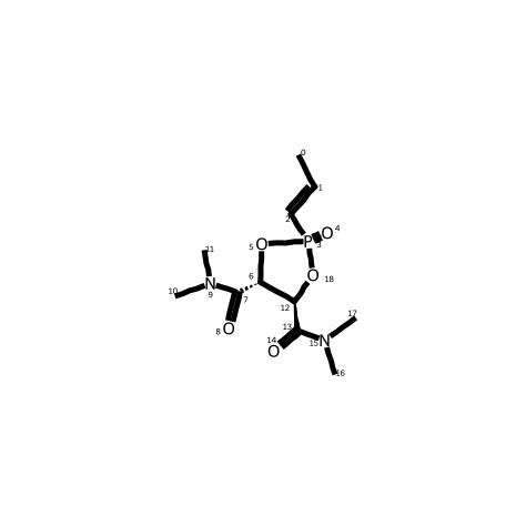 CC=CP1(=O)O[C@@H](C(=O)N(C)C)[C@H](C(=O)N(C)C)O1